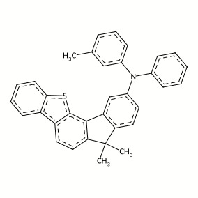 Cc1cccc(N(c2ccccc2)c2ccc3c(c2)-c2c(ccc4c2sc2ccccc24)C3(C)C)c1